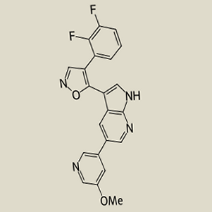 COc1cncc(-c2cnc3[nH]cc(-c4oncc4-c4cccc(F)c4F)c3c2)c1